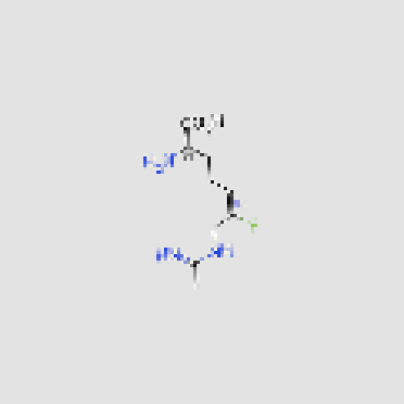 CC(=N)NC/C(F)=C\CC[C@@H](N)C(=O)O